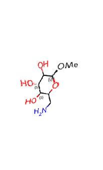 CO[C@H]1OC(CN)[C@@H](O)[C@H](O)C1O